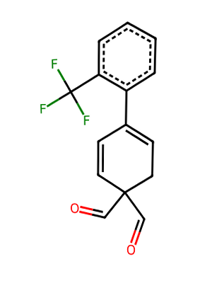 O=CC1(C=O)C=CC(c2ccccc2C(F)(F)F)=CC1